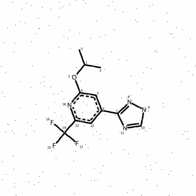 CC(C)Oc1cc(C2=N[N]C=N2)cc(C(F)(F)F)n1